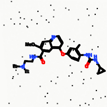 CCN(CC)CCNC(=O)c1cc2c(Oc3ccc(NC(=O)NC4CC4)c(C)c3)ccnc2cc1OC